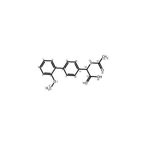 COc1ccccc1-c1ccc(C(SC(C)=O)C(=O)O)cc1